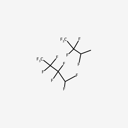 CC(F)C(F)(F)C(F)(F)F.FC(F)C(F)(F)C(F)(F)C(F)(F)F